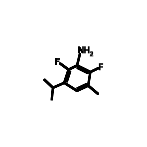 Cc1cc(C(C)C)c(F)c(N)c1F